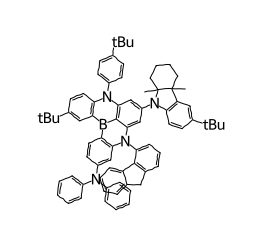 CC(C)(C)c1ccc(N2c3ccc(C(C)(C)C)cc3B3c4ccc(N(c5ccccc5)c5ccccc5)cc4N(c4cccc5c4-c4ccccc4C5)c4cc(N5c6ccc(C(C)(C)C)cc6C6(C)CCCCC56C)cc2c43)cc1